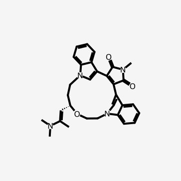 C/C(=C\[C@@H]1CCn2cc(c3ccccc32)C2=C(C(=O)N(C)C2=O)c2cn(c3ccccc23)CCO1)N(C)C